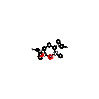 N#Cc1ccc2c(c1)c1ccccc1n2-c1cc(-c2cccc(-c3ccc(-n4c5ccccc5c5cc(C#N)ccc54)c(-c4nc(-c5ccccc5)nc(-c5ccccc5)n4)c3)c2)cc(-c2nc(-c3ccccc3)nc(-c3ccccc3)n2)c1